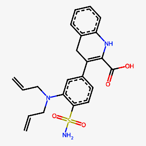 C=CCN(CC=C)c1cc(C2=C(C(=O)O)Nc3ccccc3C2)ccc1S(N)(=O)=O